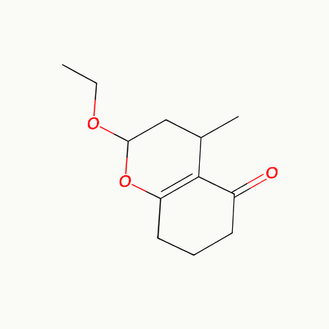 CCOC1CC(C)C2=C(CCCC2=O)O1